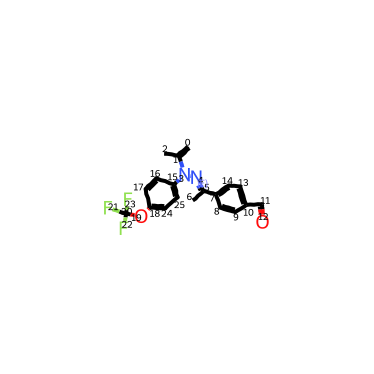 C=C(C)N(/N=C(\C)c1ccc(C=O)cc1)c1ccc(OC(F)(F)F)cc1